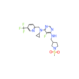 CS(=O)(=O)N1CCC(CNc2ncnc(N(Cc3ccc(C(F)(F)F)cn3)C3CC3)c2F)C1